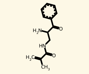 C=C(C)C(=O)NCC(N)C(=O)c1ccccc1